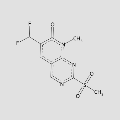 Cn1c(=O)c(C(F)F)cc2cnc(S(C)(=O)=O)nc21